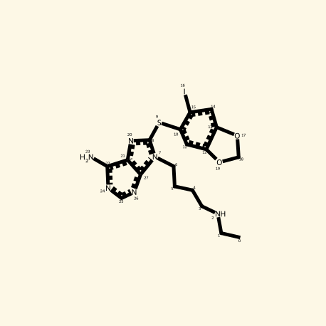 CCNCCCCn1c(Sc2cc3c(cc2I)OCO3)nc2c(N)ncnc21